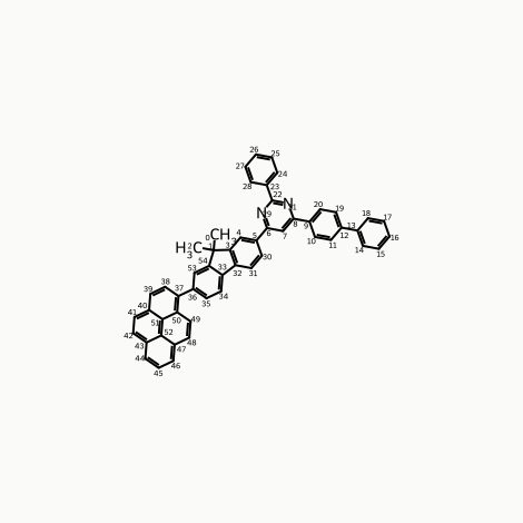 CC1(C)c2cc(-c3cc(-c4ccc(-c5ccccc5)cc4)nc(-c4ccccc4)n3)ccc2-c2ccc(-c3ccc4ccc5cccc6ccc3c4c56)cc21